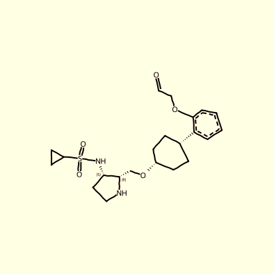 O=CCOc1ccccc1[C@H]1CC[C@@H](OC[C@@H]2NCC[C@@H]2NS(=O)(=O)C2CC2)CC1